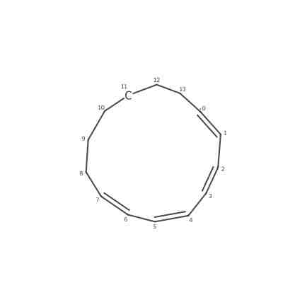 [C]1=CC=CC=CC=CCCCCCC1